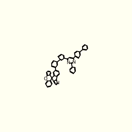 c1ccc(-c2ccc(-c3cc(-c4cccc(-c5cccc(-c6ccc7c(c6)C6(c8ccccc8Oc8ccccc86)c6cccnc6-7)c5)c4)nc(-c4ccccc4)n3)cc2)cc1